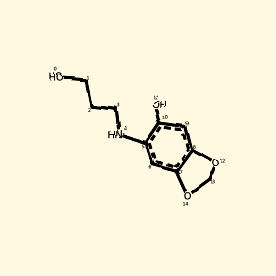 OCCCNc1cc2c(cc1O)OCO2